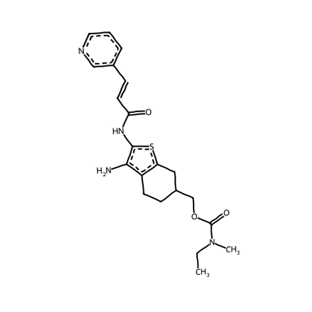 CCN(C)C(=O)OCC1CCc2c(sc(NC(=O)/C=C/c3cccnc3)c2N)C1